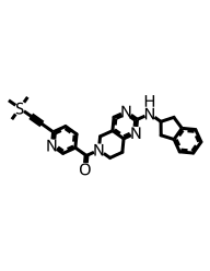 CS(C)(C)C#Cc1ccc(C(=O)N2CCc3nc(NC4Cc5ccccc5C4)ncc3C2)cn1